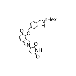 CCCCCCNCc1ccc(COC2=C3CN(C4CCC(=O)NC4=O)C=C3C=CC2=O)cc1